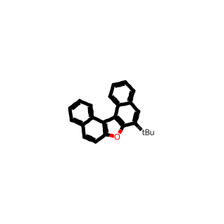 CC(C)(C)c1cc2ccccc2c2c1oc1ccc3ccccc3c12